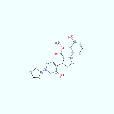 COC(=O)C1C(C2=CCN(C3CCCC3)CC2O)CCC1N1CC=CC(O)C1